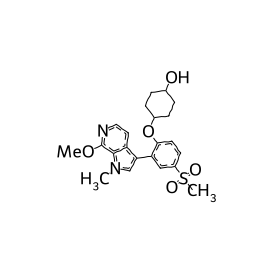 COc1nccc2c(-c3cc(S(C)(=O)=O)ccc3OC3CCC(O)CC3)cn(C)c12